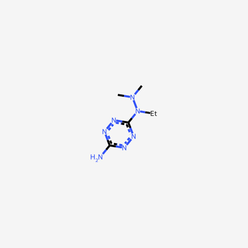 CCN(c1nnc(N)nn1)N(C)C